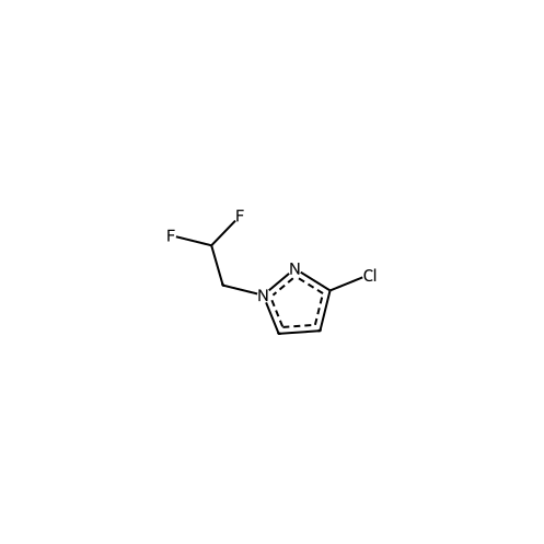 FC(F)Cn1ccc(Cl)n1